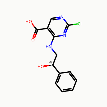 O=C(O)c1cnc(Cl)nc1NC[C@H](O)c1ccccc1